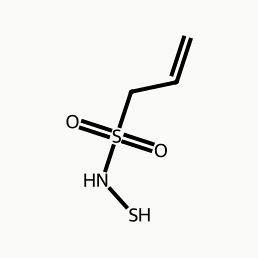 C=CCS(=O)(=O)NS